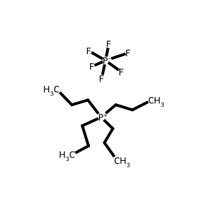 CCC[P+](CCC)(CCC)CCC.F[P-](F)(F)(F)(F)F